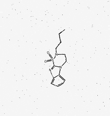 CCCCN1CCn2c(nc3ccccc32)S1(=O)=O